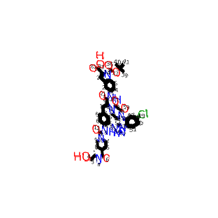 CN(CCO)C(=O)C1CCN(C(=O)Nc2ccc(CC(C(=O)Nc3ccc4c(c3)cc(C(=O)O)n4C(=O)OC(C)(C)C)N3CCN(c4cc(Cl)ccc4-n4cnnn4)C(=O)C3=O)cc2)CC1